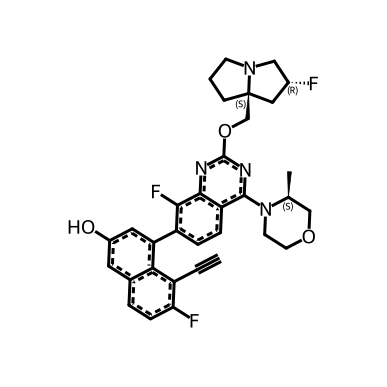 C#Cc1c(F)ccc2cc(O)cc(-c3ccc4c(N5CCOC[C@@H]5C)nc(OC[C@@]56CCCN5C[C@H](F)C6)nc4c3F)c12